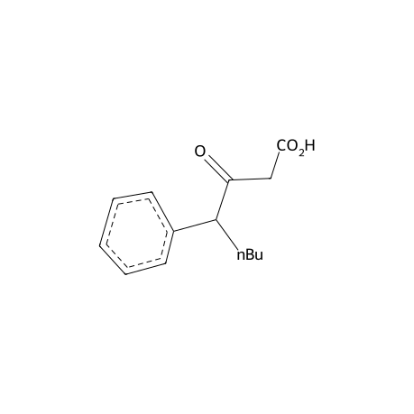 CCCCC(C(=O)CC(=O)O)c1ccccc1